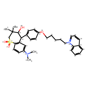 CCCCC1(CCCC)CS(=O)(=O)c2ccc(N(C)C)cc2C(c2ccc(OCCCCC[n+]3cccc4ccccc43)cc2)C1O